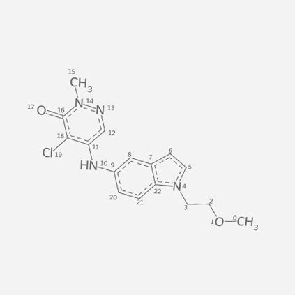 COCCn1ccc2cc(Nc3cnn(C)c(=O)c3Cl)ccc21